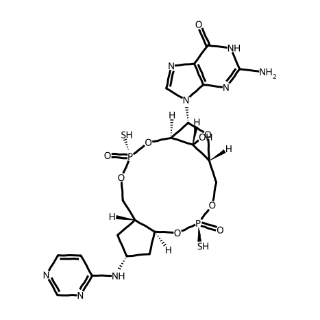 Nc1nc2c(ncn2[C@@H]2O[C@@H]3CO[P@@](=O)(S)O[C@H]4C[C@H](Nc5ccncn5)C[C@@H]4CO[P@](=O)(S)O[C@@H]2[C@@H]3O)c(=O)[nH]1